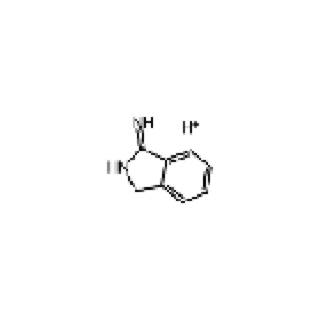 N=C1NCc2ccccc21.[H+]